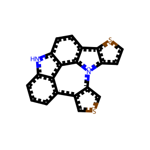 c1cc2[nH]c3ccc4c5sccc5n5c6cscc6c(c1)c2c3c45